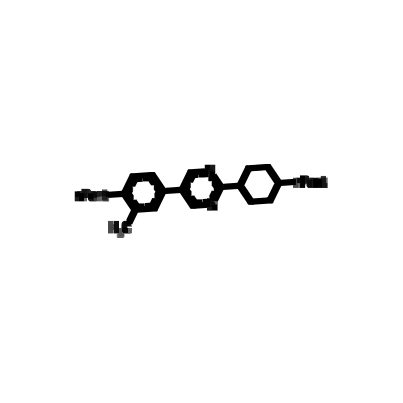 CCCCCc1ccc(-c2cnc(C3CCC(CCCCC)CC3)nc2)cc1C